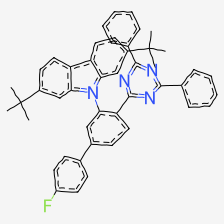 CC(C)(C)c1ccc2c3ccc(C(C)(C)C)cc3n(-c3cc(-c4ccc(F)cc4)ccc3-c3nc(-c4ccccc4)nc(-c4ccccc4)n3)c2c1